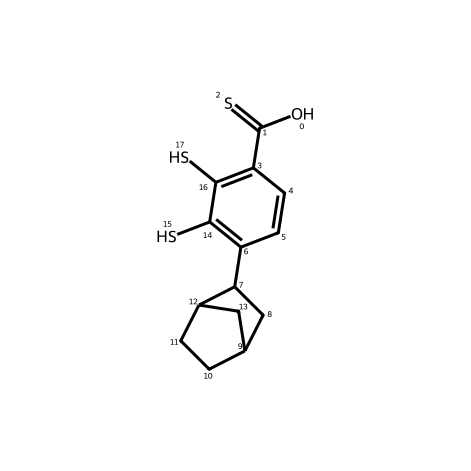 OC(=S)c1ccc(C2CC3CCC2C3)c(S)c1S